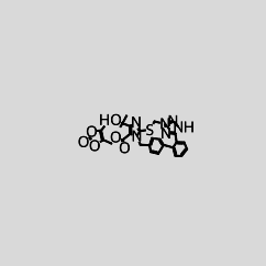 CCSc1nc(C(C)(C)O)c(C(=O)OCc2oc(=O)oc2C)n1Cc1ccc(-c2ccccc2-c2nnn[nH]2)cc1